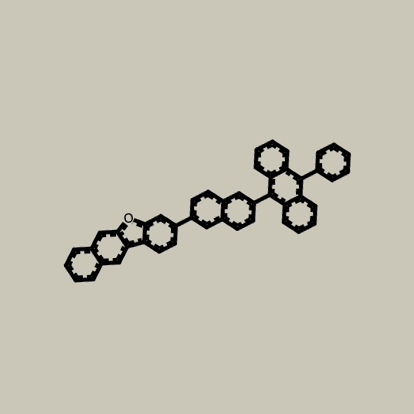 c1ccc(-c2c3ccccc3c(-c3ccc4cc(-c5ccc6c(c5)oc5cc7ccccc7cc56)ccc4c3)c3ccccc23)cc1